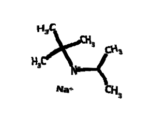 CC(C)[N-]C(C)(C)C.[Na+]